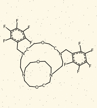 Fc1c(F)c(F)c(CN2CCOCCN(Cc3c(F)c(F)c(F)c(F)c3F)CCN3CCOCCN(CCOCC3)CC2)c(F)c1F